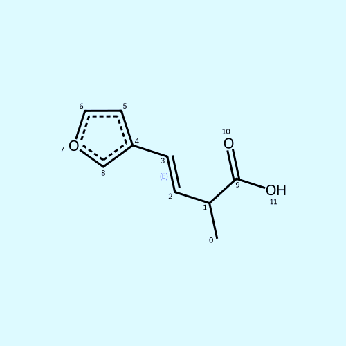 CC(/C=C/c1ccoc1)C(=O)O